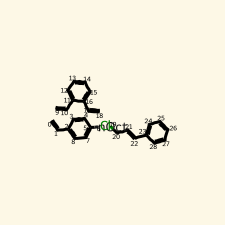 C=Cc1ccc(CCCCCCCC)cc1.C=Cc1ccccc1C=C.ClCC=Cc1ccccc1